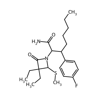 CCCCCC(c1ccc(F)cc1)C(C(N)=O)N1C(=O)C(CC)(CC)C1SC